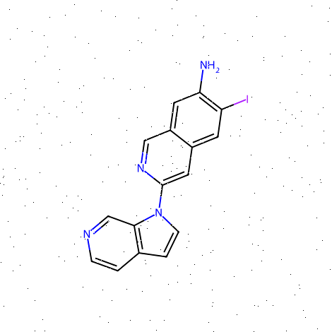 Nc1cc2cnc(-n3ccc4ccncc43)cc2cc1I